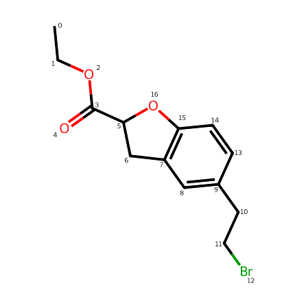 CCOC(=O)C1Cc2cc(CCBr)ccc2O1